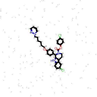 O=C(Oc1ccc(Cl)cc1)N1CCc2c([nH]c3ccc(Cl)cc23)C1c1ccc(OCCCCCCN2C=C=CC=N2)cc1